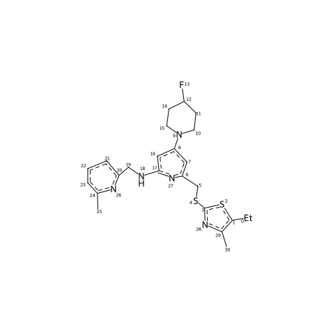 CCc1sc(SCc2cc(N3CCC(F)CC3)cc(NCc3cccc(C)n3)n2)nc1C